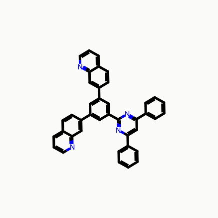 c1ccc(-c2cc(-c3ccccc3)nc(-c3cc(-c4ccc5cccnc5c4)cc(-c4ccc5cccnc5c4)c3)n2)cc1